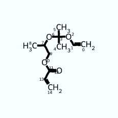 C=COC(C)(C)OC(C)COC(=O)C=C